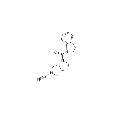 N#CN1CC2CCN(C(=O)N3CCc4ccccc43)C2C1